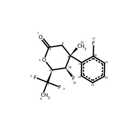 CC(F)(F)[C@H]1OC(=O)C[C@](C)(c2ccccc2F)[C@H]1F